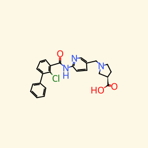 O=C(Nc1ccc(CN2CC[C@@H](C(=O)O)C2)cn1)c1cccc(-c2ccccc2)c1Cl